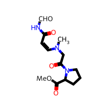 COC(=O)C1CCCN1C(=O)CN(C)/C=C\C(=O)NC=O